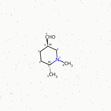 C[C@@H]1CC[C@@H](C=O)CN1C